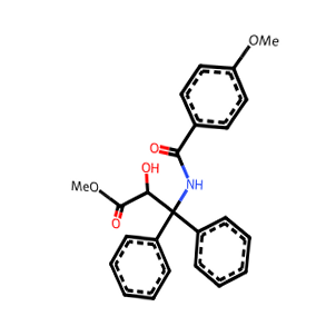 COC(=O)C(O)C(NC(=O)c1ccc(OC)cc1)(c1ccccc1)c1ccccc1